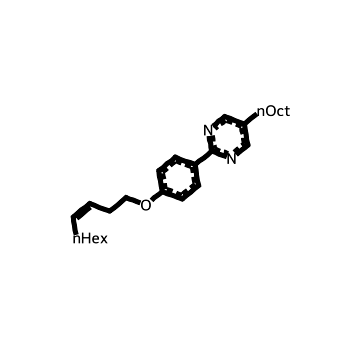 CCCCCC/C=C\CCOc1ccc(-c2ncc(CCCCCCCC)cn2)cc1